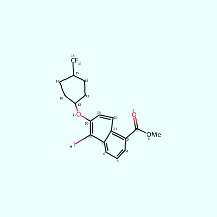 COC(=O)c1cccc2c(I)c(OC3CCC(C(F)(F)F)CC3)ccc12